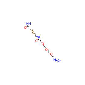 CNC(=O)CCSSCCNC(=O)CCOCCOCCOCCN=[N+]=[N-]